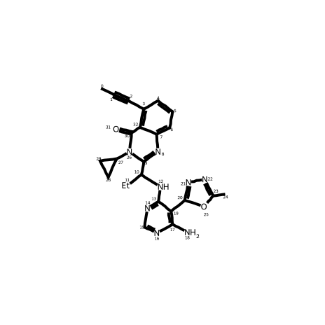 CC#Cc1cccc2nc(C(CC)Nc3ncnc(N)c3-c3nnc(C)o3)n(C3CC3)c(=O)c12